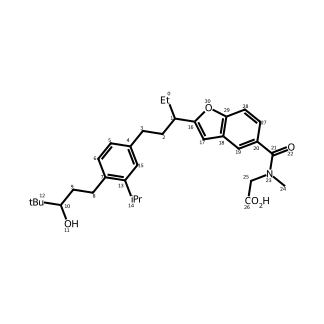 CCC(CCc1ccc(CCC(O)C(C)(C)C)c(C(C)C)c1)c1cc2cc(C(=O)N(C)CC(=O)O)ccc2o1